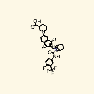 COc1ccc(N2CCCC(C(=O)O)C2)cc1C(=O)N[C@@H]1C2CCC(/C2=C/c2ccccc2)[C@@H]1C(=O)Nc1ccc(F)c(C(F)(F)F)c1